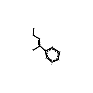 CC/C=C(\C)c1cccnc1